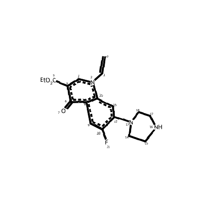 C=Cn1cc(C(=O)OCC)c(=O)c2cc(F)c(N3CCNCC3)cc21